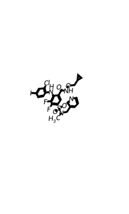 CN(Cc1cccnc1)S(=O)(=O)c1cc(C(=O)NOCC2CC2)c(Nc2ccc(I)cc2Cl)c(F)c1F